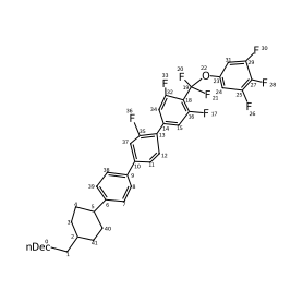 CCCCCCCCCCCC1CCC(c2ccc(-c3ccc(-c4cc(F)c(C(F)(F)Oc5cc(F)c(F)c(F)c5)c(F)c4)c(F)c3)cc2)CC1